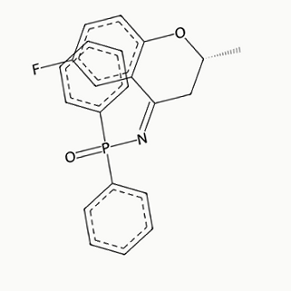 C[C@@H]1C/C(=N/P(=O)(c2ccccc2)c2ccccc2)c2cc(F)ccc2O1